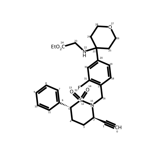 C#C[C@H]1CC[C@H](c2ccccc2)S(=O)(=O)N1Cc1ccc(C2(NCC(=O)OCC)CCOCC2)cc1F